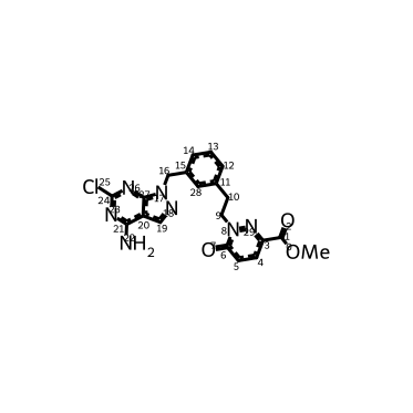 COC(=O)c1ccc(=O)n(CCc2cccc(Cn3ncc4c(N)nc(Cl)nc43)c2)n1